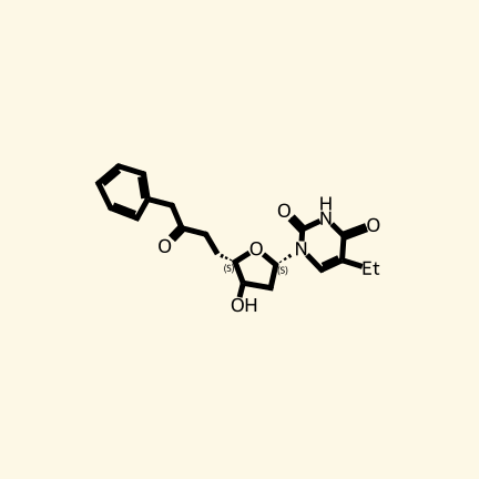 CCc1cn([C@@H]2CC(O)[C@H](CCC(=O)Cc3ccccc3)O2)c(=O)[nH]c1=O